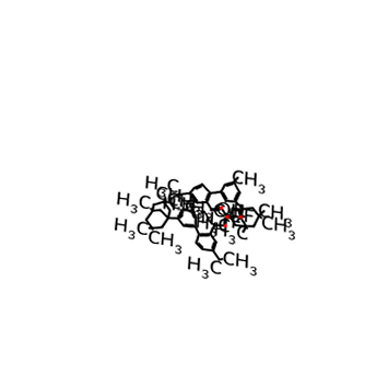 Cc1cc(-c2ccc(C(C)C)cc2-c2cc(C(F)(F)F)cc(-c3cc(C(C)C)ccc3-c3cc(C)cc(C45CC(C)(C)CC(C)(CC(C)(C)C4)C5)c3O)n2)cc(C23CC(C)(C)CC(C)(CC(C)(C)C2)C3)c1